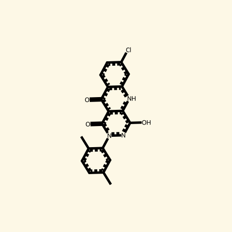 Cc1ccc(C)c(-n2nc(O)c3[nH]c4cc(Cl)ccc4c(=O)c3c2=O)c1